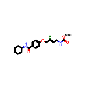 CC(C)(C)OC(=O)NCC=C(F)COc1ccc(C(=O)NC2CCCCC2)cc1